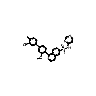 COc1cc(-c2ccc(C)c(Cl)c2)ccc1-c1nccc2cc(S(=O)(=O)Nc3ccncn3)ccc12